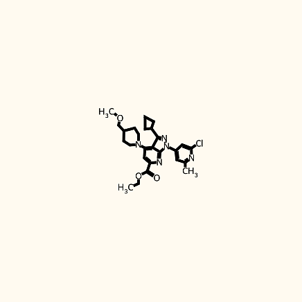 CCOC(=O)c1cc(N2CCC(COC)CC2)c2c(C3CCC3)nn(-c3cc(C)nc(Cl)c3)c2n1